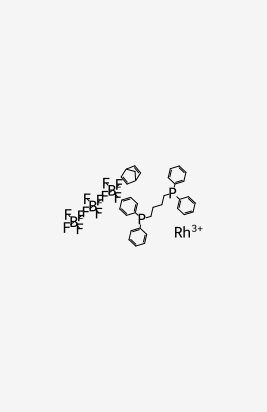 C1=CC2C=CC1C2.F[B-](F)(F)F.F[B-](F)(F)F.F[B-](F)(F)F.[Rh+3].c1ccc(P(CCCCP(c2ccccc2)c2ccccc2)c2ccccc2)cc1